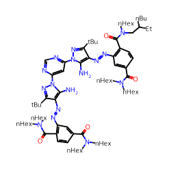 CCCCCCN(CCCCCC)C(=O)c1ccc(C(=O)N(CCCCCC)CCCCCC)c(/N=N/c2c(C(C)(C)C)nn(-c3cc(-n4nc(C(C)(C)C)c(/N=N/c5cc(C(=O)N(CCCCCC)CCCCCC)ccc5C(=O)N(CCCCCC)CC(CC)CCCC)c4N)ncn3)c2N)c1